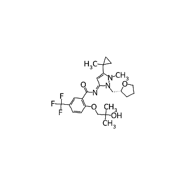 Cn1c(C2(C)CC2)cc(=NC(=O)c2cc(C(F)(F)F)ccc2OCC(C)(C)O)n1C[C@H]1CCCO1